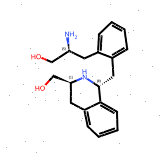 N[C@H](CO)Cc1ccccc1C[C@H]1N[C@H](CO)Cc2ccccc21